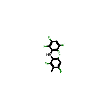 Cc1c(F)cc(F)c(Bc2c(F)c(F)cc(F)c2F)c1F